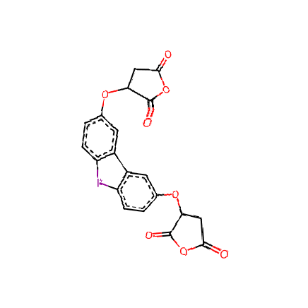 O=C1CC(Oc2ccc3c(c2)-c2cc(OC4CC(=O)OC4=O)ccc2[I+]3)C(=O)O1